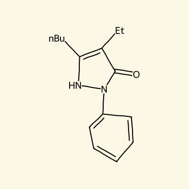 CCCCc1[nH]n(-c2ccccc2)c(=O)c1CC